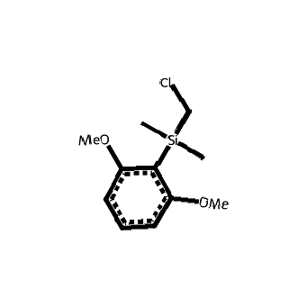 COc1cccc(OC)c1[Si](C)(C)CCl